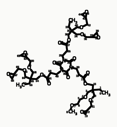 CCC(COCCOC)(COCC1CO1)COC(=O)CCn1c(=O)n(CCC(=O)OCC(CC)(COCC2CO2)COCC2CO2)c(=O)n(CCC(=O)OCC(CC)(COCC2CO2)COCC2CO2)c1=O